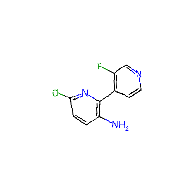 Nc1ccc(Cl)nc1-c1ccncc1F